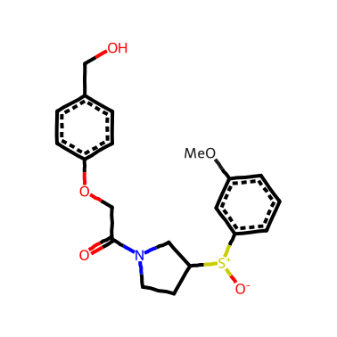 COc1cccc([S+]([O-])C2CCN(C(=O)COc3ccc(CO)cc3)C2)c1